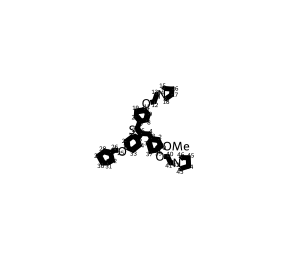 COc1cc(Cc2c(-c3ccc(OCCN4CCCC4)cc3)sc3cc(OCc4ccccc4)ccc23)ccc1OCCN1CCCC1